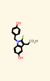 O=C(O)Cc1c(F)n(Cc2ccc(O)cc2)c2ccc(O)cc12